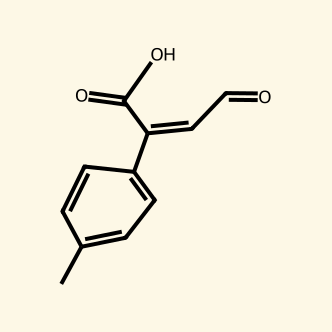 Cc1ccc(C(=CC=O)C(=O)O)cc1